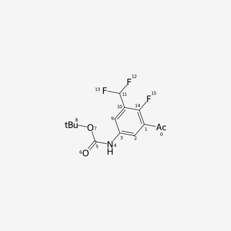 CC(=O)c1cc(NC(=O)OC(C)(C)C)cc(C(F)F)c1F